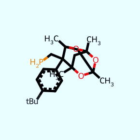 CC12CC3(C)OC(C)(CC(C)(O1)C3(CP)c1ccc(C(C)(C)C)cc1)O2